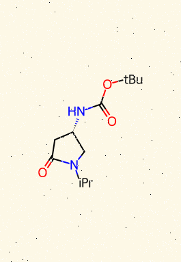 CC(C)N1C[C@@H](NC(=O)OC(C)(C)C)CC1=O